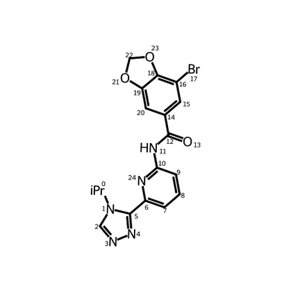 CC(C)n1cnnc1-c1cccc(NC(=O)c2cc(Br)c3c(c2)OCO3)n1